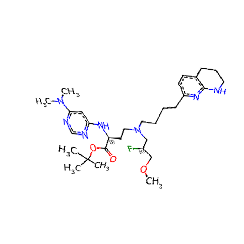 COC[C@@H](F)CN(CCCCc1ccc2c(n1)NCCC2)CC[C@H](Nc1cc(N(C)C)ncn1)C(=O)OC(C)(C)C